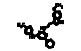 COc1ccc2[nH]cc(CCNc3nc(Nc4ccc(C)cc4)cc(N4CCCCC4)n3)c2c1